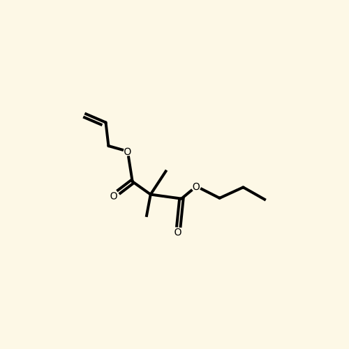 C=CCOC(=O)C(C)(C)C(=O)OCCC